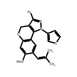 COc1cc2c(cc1C=C(C)C)-c1c(c(C(C)=O)nn1-c1ccsc1)CO2